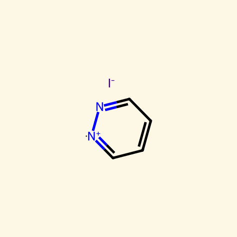 C1=CC=[N+]N=C1.[I-]